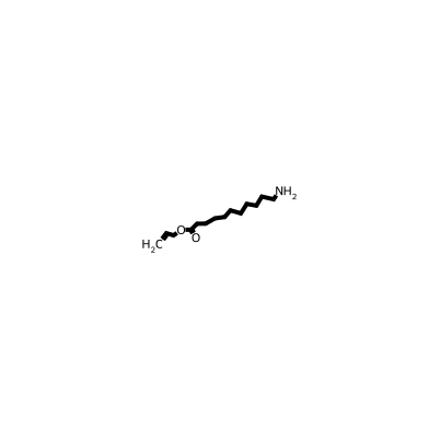 C=CCOC(=O)CCCCCCCCCCN